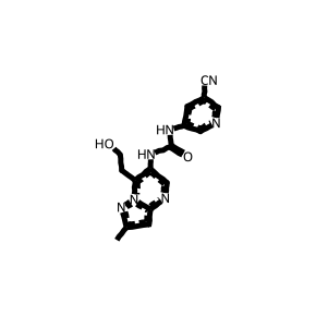 Cc1cc2ncc(NC(=O)Nc3cncc(C#N)c3)c(CCO)n2n1